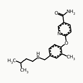 Cc1cc(CBCCC(C)C)ccc1Oc1ccc(C(N)=O)cn1